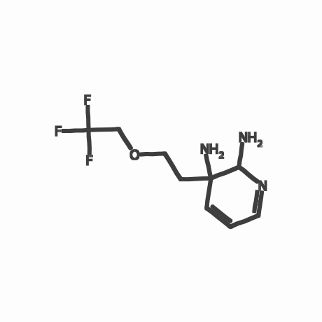 NC1N=CC=CC1(N)CCOCC(F)(F)F